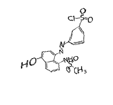 CS(=O)(=O)Nc1cccc2c(O)ccc(N=Nc3cccc(S(=O)(=O)Cl)c3)c12